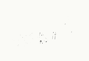 C=CCC(CC)CCNCc1nc(-c2ccc(C(C)(C)C)cc2)no1